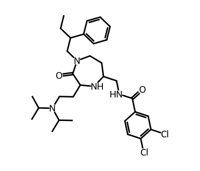 CCC(CN1CCC(CNC(=O)c2ccc(Cl)c(Cl)c2)NC(CCN(C(C)C)C(C)C)C1=O)c1ccccc1